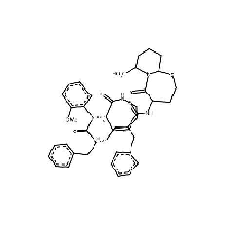 COc1ccccc1N(C(=O)[C@H](CC[C@H](Cc1ccccc1)C(=O)NC1CCSC2CCCC(C(=O)O)N2C1=O)Cc1ccccc1)[C@H]1CCCCNC1=O